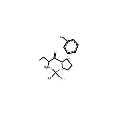 CC(C)(C#N)[C@H]1CC[C@@H](c2cccc(Cl)c2)N1C(=O)C(N)CF